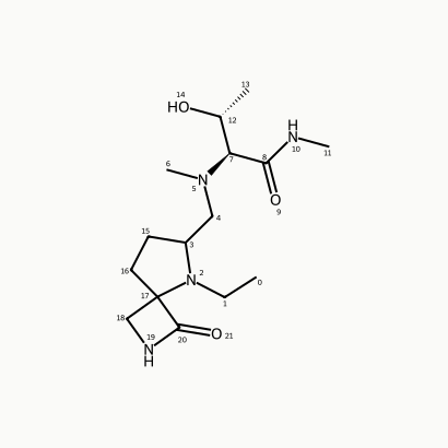 CCN1C(CN(C)[C@H](C(=O)NC)[C@@H](C)O)CCC12CNC2=O